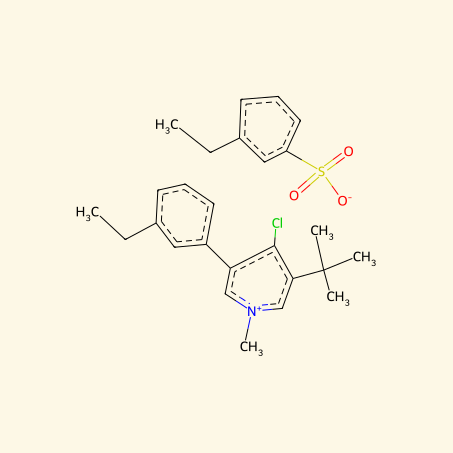 CCc1cccc(-c2c[n+](C)cc(C(C)(C)C)c2Cl)c1.CCc1cccc(S(=O)(=O)[O-])c1